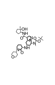 CN(C(=O)OC(C)(C)C)c1cc(Nc2cccn(C3CCOCC3)c2=O)cc2c(C(=O)NC3CCC[C@]3(C)O)cnn12